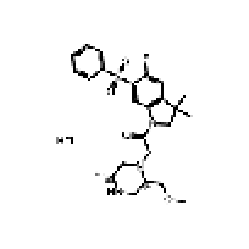 COC[C@H]1CN[C@H](C)CN1CC(=O)N1CC(C)(C)c2cc(F)c(S(=O)(=O)c3ccccc3)cc21.Cl